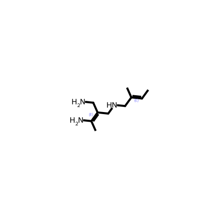 C/C=C(\C)CNC/C(CN)=C(\C)N